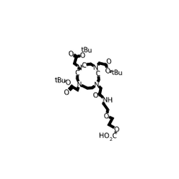 CC(C)(C)OC(=O)CN1CCN(CC(=O)NCCOCCOC(=O)O)CCN(CC(=O)OC(C)(C)C)CCN(CC(=O)OC(C)(C)C)CC1